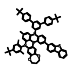 Cc1cc2c3c(c1)N(c1c(C)cc(C(C)(C)C)cc1C)c1cc4c(cc1B3c1cc(-c3ccc5c(c3)sc3ccccc35)ccc1N2c1cc(-c2ccc(C(C)(C)C)cc2)cc(-c2ccc(C(C)(C)C)cc2)c1)OCCCO4